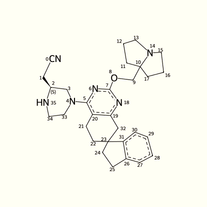 N#CC[C@H]1CN(c2nc(OCC34CCCN3CCC4)nc3c2CCC2(CCc4ccccc42)C3)CCN1